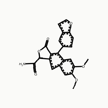 COc1cc2cc3c(c(-c4ccc5occc5c4)c2cc1OC)C(=O)OC3C(N)=O